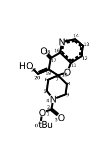 CC(C)(C)OC(=O)N1CCC2(CC1)Oc1cccnc1C(=O)/C2=C\O